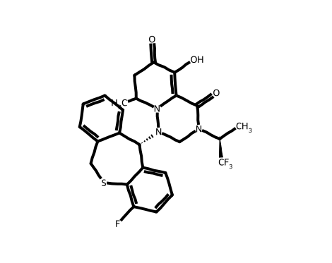 CC1CC(=O)C(O)=C2C(=O)N([C@@H](C)C(F)(F)F)CN([C@H]3c4ccccc4CSc4c(F)cccc43)N21